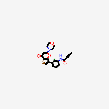 CC#CC(=O)Nc1cccc(-c2csc3c(=O)cc(N4CCOCC4)oc23)c1F